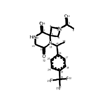 CC(=O)N1CC2(C1)C(=O)NCC(=O)N2C(C)c1ccc(C(F)(F)F)cc1